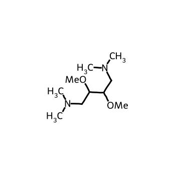 COC(CN(C)C)C(CN(C)C)OC